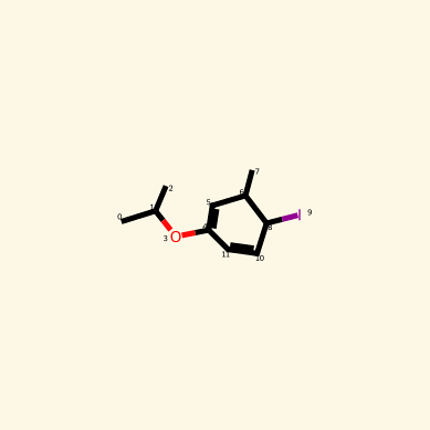 CC(C)OC1=CC(C)C(I)C=C1